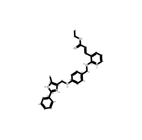 CCOC(=O)/C=C/c1cccnc1OCc1ccc(OCc2nc(-c3ccccc3)oc2C)cc1